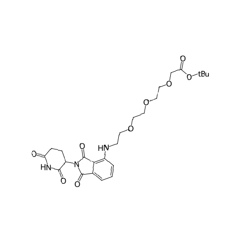 CC(C)(C)OC(=O)COCCOCCOCCNc1cccc2c1C(=O)N(C1CCC(=O)NC1=O)C2=O